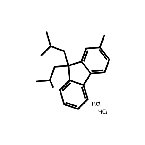 Cc1ccc2c(c1)C(CC(C)C)(CC(C)C)c1ccccc1-2.Cl.Cl